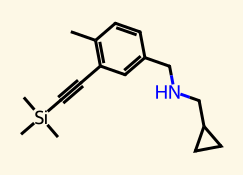 Cc1ccc(CNCC2CC2)cc1C#C[Si](C)(C)C